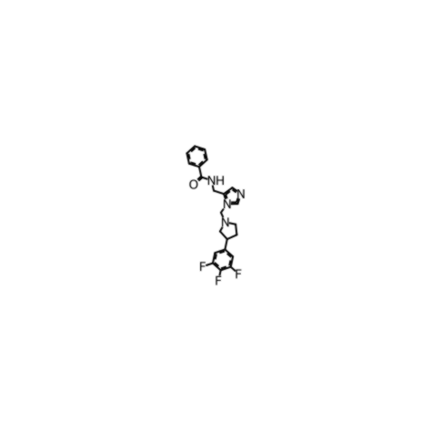 O=C(NCc1cncn1CN1CCC(c2cc(F)c(F)c(F)c2)C1)c1ccccc1